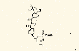 [2H]c1cc(Oc2ccc(NC(=O)Nc3ccc(Cl)c(C([2H])([2H])[2H])c3)cc2)cc(C(=O)NC)n1